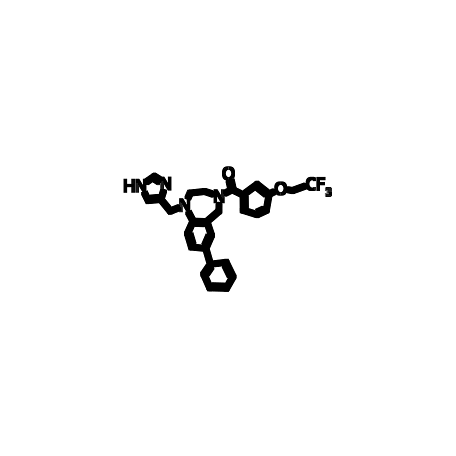 O=C(c1cccc(OCC(F)(F)F)c1)N1CCN(Cc2c[nH]cn2)c2ccc(-c3ccccc3)cc2C1